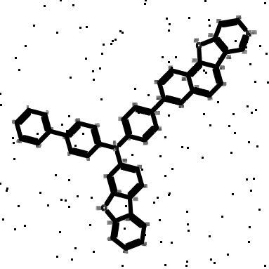 c1ccc(-c2ccc(N(c3ccc(-c4ccc5c(ccc6c7cnccc7oc56)c4)cc3)c3ccc4c(c3)oc3ccccc34)cc2)cc1